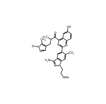 CCn1ncc(CN(C)C(=O)c2nc(-c3cc4c(N)nn(CCNC)c4cc3C)nc3ccc(O)cc23)c1C